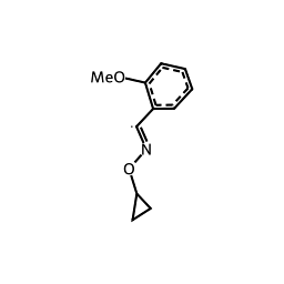 COc1ccccc1/[C]=N/OC1CC1